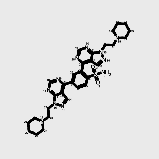 NS(=O)(=O)c1ccc(-c2ncnc3c2cnn3CCN2CCCCC2)cc1-c1ncnc2c1cnn2CCN1CCCCC1